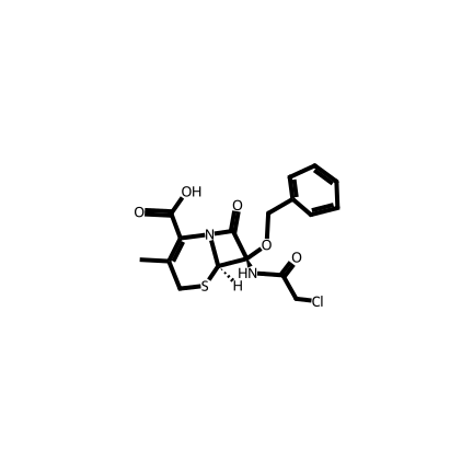 CC1=C(C(=O)O)N2C(=O)[C@](NC(=O)CCl)(OCc3ccccc3)[C@H]2SC1